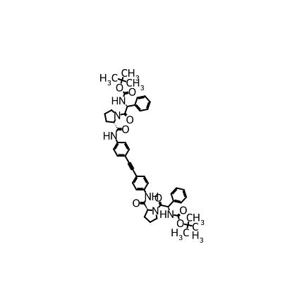 CC(C)(C)OC(=O)N[C@@H](C(=O)N1CCC[C@H]1C(=O)Nc1ccc(C#Cc2ccc(NC(=O)[C@@H]3CCCN3C(=O)[C@H](NC(=O)OC(C)(C)C)c3ccccc3)cc2)cc1)c1ccccc1